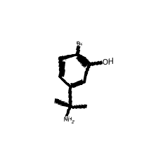 CC(C)(N)c1ccc(Br)c(O)c1